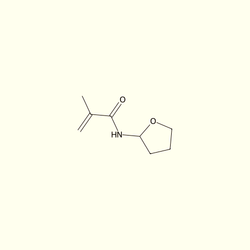 C=C(C)C(=O)NC1CCCO1